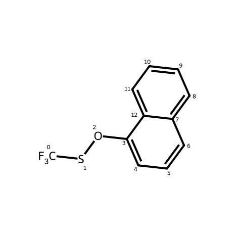 FC(F)(F)SOc1cccc2ccccc12